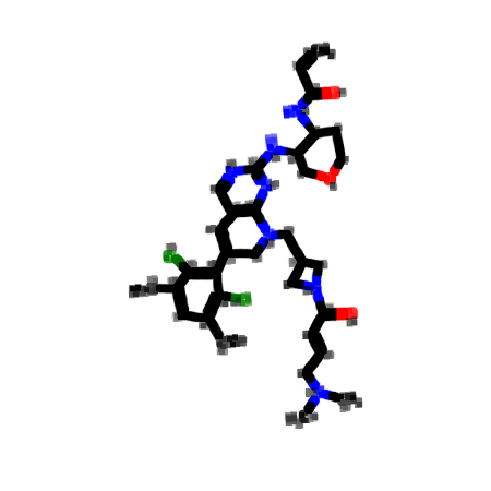 C=CC(=O)N[C@H]1CCOC[C@H]1Nc1ncc2c(n1)N(CC1CN(C(=O)/C=C/CN(C)C)C1)CC(c1c(Cl)c(OC)cc(OC)c1Cl)=C2